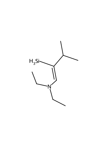 CCN(C=C([SiH3])C(C)C)CC